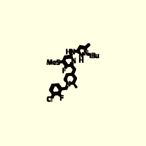 CSc1cc(NC2C=C(C)N(C(C)(C)C)N2)nc(CC2CCN(Cc3cccc(Cl)c3F)[C@H](C)C2)c1F